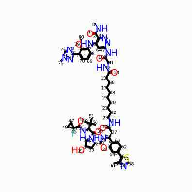 CNC(=O)c1nnc(NC(=O)CNC(=O)CCCCCCCCCNC(=O)C[C@H](NC(=O)[C@@H]2C[C@@H](O)CN2C(=O)[C@@H](NC(=O)C2(F)CC2)C(C)(C)C)c2ccc(-c3scnc3C)cc2)cc1Nc1cccc(-c2ncn(C)n2)c1OC